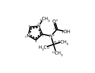 Cn1cncc1N(C(=O)O)C(C)(C)C